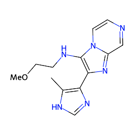 COCCNc1c(-c2nc[nH]c2C)nc2cnccn12